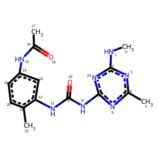 CNc1nc(C)nc(NC(=O)Nc2cc(NC(C)=O)ccc2C)n1